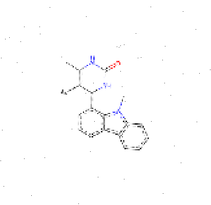 CC(=O)C1=C(C)NC(=O)NC1c1cccc2c3ccccc3n(C)c12